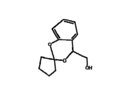 OCC1OC2(CCCC2)Oc2ccccc21